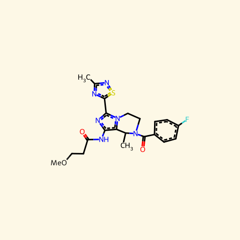 COCCC(=O)Nc1nc(-c2nc(C)ns2)n2c1C(C)N(C(=O)c1ccc(F)cc1)CC2